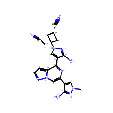 Cn1cc(-c2cn3nccc3c(-c3cn([C@]4(CC#N)C[C@@H](C#N)C4)nc3N)n2)c(N)n1